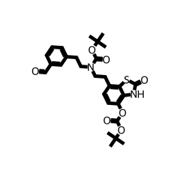 CC(C)(C)OC(=O)Oc1ccc(CCN(CCc2cccc(C=O)c2)C(=O)OC(C)(C)C)c2sc(=O)[nH]c12